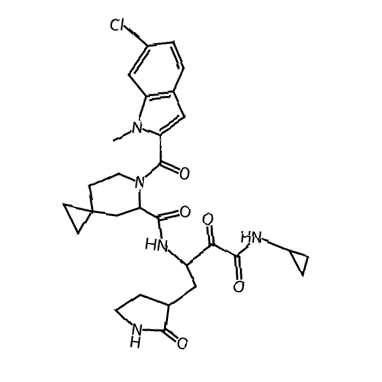 Cn1c(C(=O)N2CCC3(CC3)CC2C(=O)NC(CC2CCNC2=O)C(=O)C(=O)NC2CC2)cc2ccc(Cl)cc21